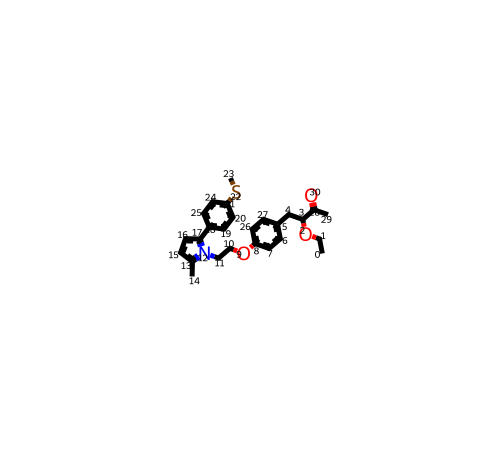 CCOC(Cc1ccc(OCCn2c(C)ccc2-c2ccc(SC)cc2)cc1)C(C)=O